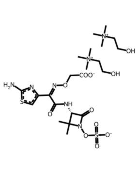 CC1(C)[C@H](NC(=O)/C(=N\OCC(=O)[O-])c2csc(N)n2)C(=O)N1OS(=O)(=O)[O-].C[N+](C)(C)CCO.C[N+](C)(C)CCO